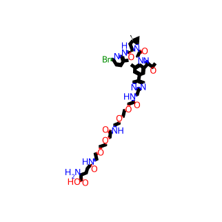 CC(=O)c1nn(CC(=O)N2C3C[C@]3(C)C[C@H]2C(=O)Nc2nc(Br)ccc2C)c2c(C)cc(-c3cnc(CNC(=O)COCCOCCNC(=O)COCCOCCNC(=O)CC[C@H](N)C(=O)O)nc3)cc12